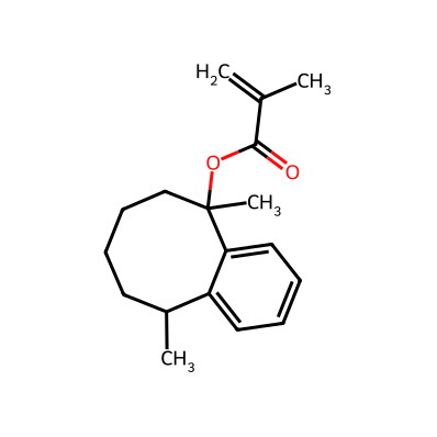 C=C(C)C(=O)OC1(C)CCCCC(C)c2ccccc21